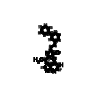 CC(c1nn(CCc2cccc(-c3ccccc3)c2)c(=O)o1)n1cnc2nc[nH]c(=O)c21